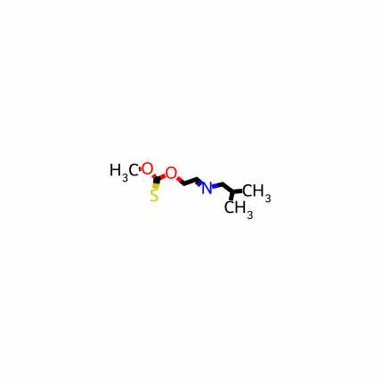 COC(=S)OCC=NCC(C)C